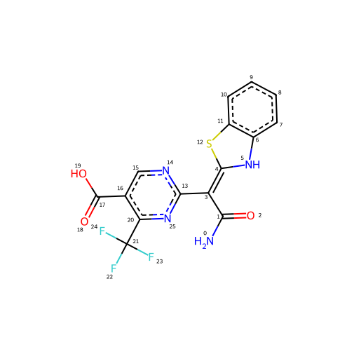 NC(=O)C(=C1Nc2ccccc2S1)c1ncc(C(=O)O)c(C(F)(F)F)n1